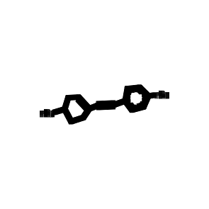 CCCCc1ccc(C#CC2=CCC(CCCC)CC2)cc1